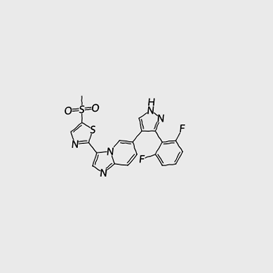 CS(=O)(=O)c1cnc(-c2cnc3ccc(-c4c[nH]nc4-c4c(F)cccc4F)cn23)s1